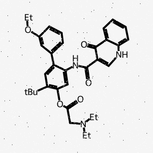 CCOc1cccc(-c2cc(C(C)(C)C)c(OC(=O)CN(CC)CC)cc2NC(=O)c2c[nH]c3ccccc3c2=O)c1